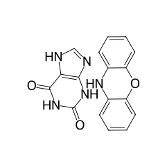 O=c1[nH]c(=O)c2[nH]cnc2[nH]1.c1ccc2c(c1)Nc1ccccc1O2